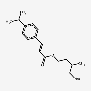 CC(CCOC(=O)C=Cc1ccc(N(C)C)cc1)CC(C)(C)C